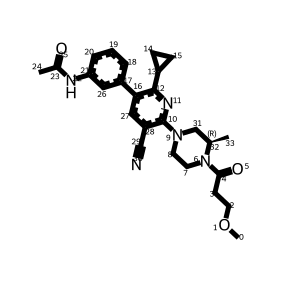 COCCC(=O)N1CCN(c2nc(C3CC3)c(-c3cccc(NC(C)=O)c3)cc2C#N)C[C@H]1C